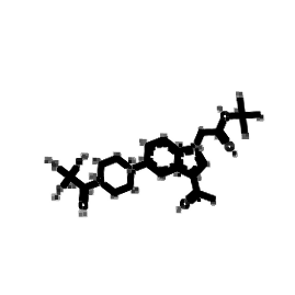 CC(=O)c1cn(CC(=O)OC(C)(C)C)c2ccc(N3CCN(C(=O)C(F)(F)F)CC3)cc12